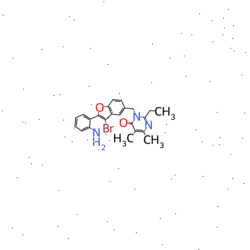 CCc1nc(C)c(C)c(=O)n1Cc1ccc2oc(-c3ccccc3N)c(Br)c2c1